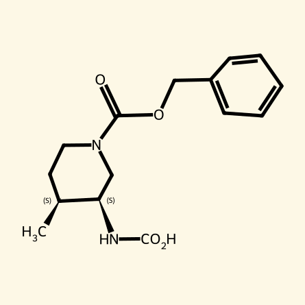 C[C@H]1CCN(C(=O)OCc2ccccc2)C[C@H]1NC(=O)O